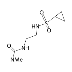 CNC(=O)NCCNS(=O)(=O)C1CC1